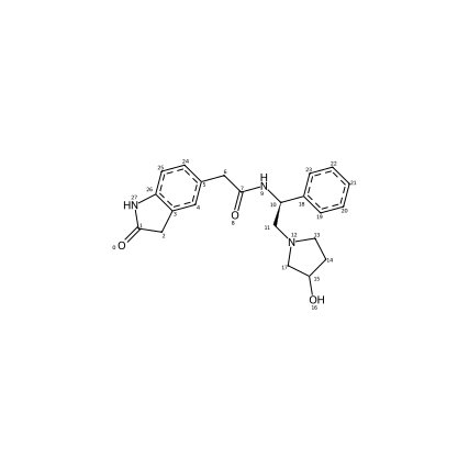 O=C1Cc2cc(CC(=O)N[C@H](CN3CCC(O)C3)c3ccccc3)ccc2N1